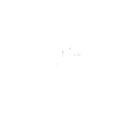 COC(CO)C1OC(=O)C(=O)C1=O